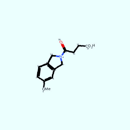 COc1ccc2c(c1)CN(C(=O)CCC(=O)O)C2